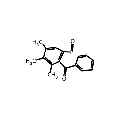 Cc1cc(P=O)c(C(=O)c2ccccc2)c(C)c1C